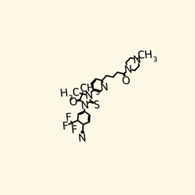 CN1CCN(C(=O)CCCc2ccc(N3C(=S)N(C4=CC(C(F)(F)F)C(C#N)C=C4)C(=O)C3(C)C)cn2)CC1